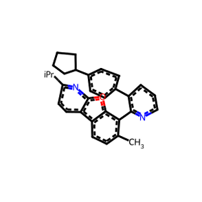 Cc1ccc2c(oc3nc(C(C)C)ccc32)c1-c1ncccc1-c1ccc(C2CCCC2)cc1